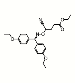 CCOC(=O)CCC(C#N)ON=C(c1ccc(OCC)cc1)c1ccc(OCC)cc1